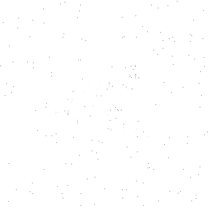 COc1ncccc1CN(CC(Oc1ccc(F)c(C(N)=O)c1F)c1nc(-c2ccc(C(F)(F)F)cc2)c(Br)o1)C(=O)O